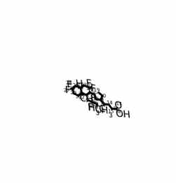 CCC(F)(F)C[C@H]1[C@H]([C@@H]2CCC([C@H](C)CCC(=O)O)C2)C(F)(F)C[C@@H]2CC(F)(F)CC[C@@]21C